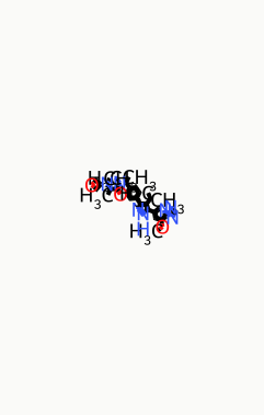 COc1cc(-c2[nH]nc(-c3ccc(C(C)N(C)C(=O)C(C)N(C)C4COC4)cc3)c2C(C)C)cn2ncnc12